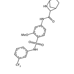 COc1cc(NC(=O)C2NC3CCC2C3)ccc1S(=O)(=O)Nc1cccc(C(F)(F)F)c1